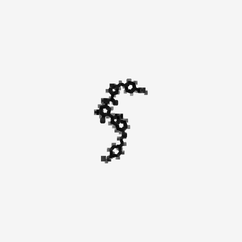 Cc1ccc(Cn2cc(C(=O)Nc3c[nH]c(=O)c(-c4cc5cc(OCCN6CCN(C)CC6)ccc5[nH]4)c3)cn2)cc1